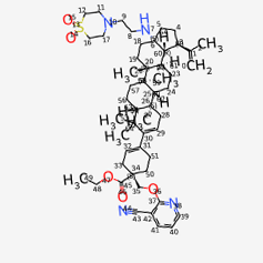 C=C(C)[C@@H]1CC[C@]2(NCCN3CCS(=O)(=O)CC3)CC[C@]3(C)[C@H](CC[C@@H]4[C@@]5(C)CC=C(C6=CC[C@@](COc7ncccc7C#N)(C(=O)OCC)CC6)C(C)(C)[C@@H]5CC[C@]43C)[C@@H]12